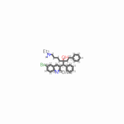 CCN(C)CCCCC(O)(CCc1ccccc1)C(c1ccccc1)c1cc2cc(Br)ccc2nc1OC